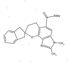 CNC(=O)c1cc2c(nc(C)n2C)c2c1CCC1(Cc3ccccc3C1)O2